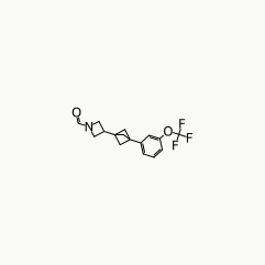 O=CN1CC(C23CC(c4cccc(OC(F)(F)F)c4)(C2)C3)C1